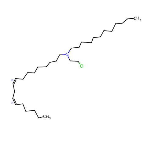 CCCCC/C=C\C/C=C\CCCCCCCCN(CCCl)CCCCCCCCCCCC